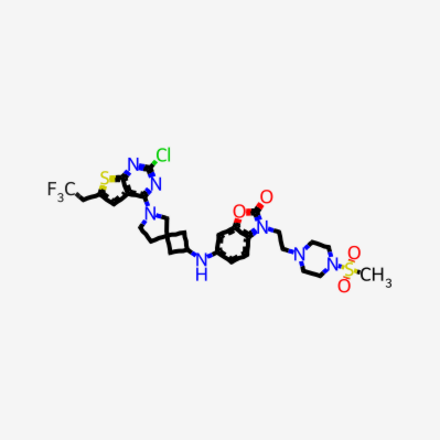 CS(=O)(=O)N1CCN(CCn2c(=O)oc3cc(NC4CC5(CCN(c6nc(Cl)nc7sc(CC(F)(F)F)cc67)C5)C4)ccc32)CC1